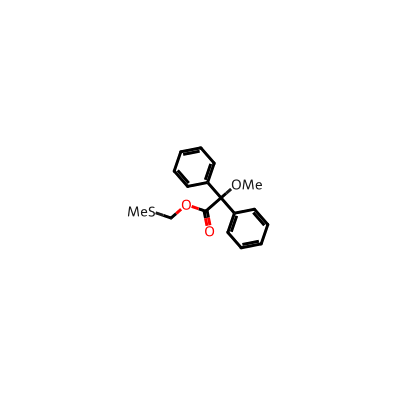 COC(C(=O)OCSC)(c1ccccc1)c1ccccc1